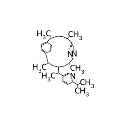 CC(C)c1ccc(C(C)C2CC(C)c3ccc(cc3)C(C)CCC(C)c3cnc(nc3)C(C)C2)cn1